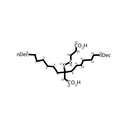 CCCCCCCCCCCCCCCCC(CCCCCCCCCCCCCCCC)(CC(=O)O)SSCCC(=O)O